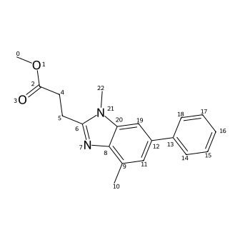 COC(=O)CCc1nc2c(C)cc(-c3ccccc3)cc2n1C